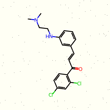 CN(C)CCNc1cccc(C=CC(=O)c2ccc(Cl)cc2Cl)c1